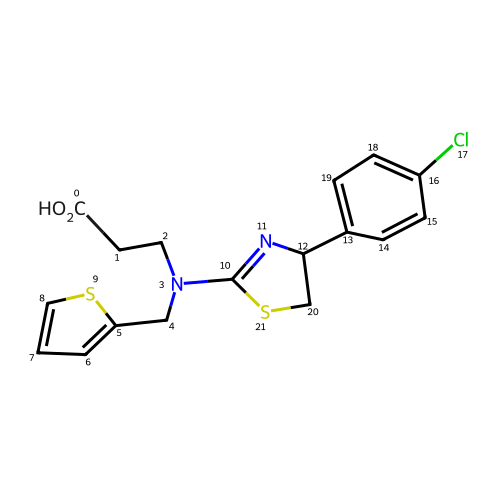 O=C(O)CCN(Cc1cccs1)C1=NC(c2ccc(Cl)cc2)CS1